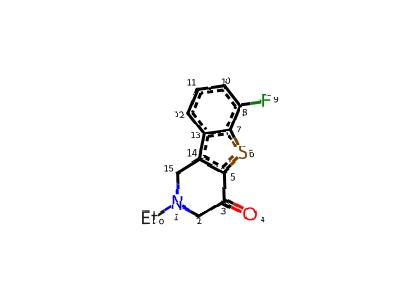 CCN1CC(=O)c2sc3c(F)cccc3c2C1